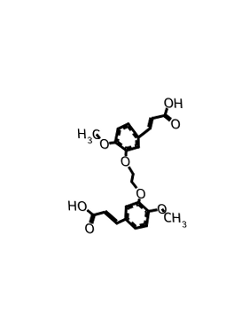 COc1ccc(/C=C/C(=O)O)cc1OCCOc1cc(/C=C/C(=O)O)ccc1OC